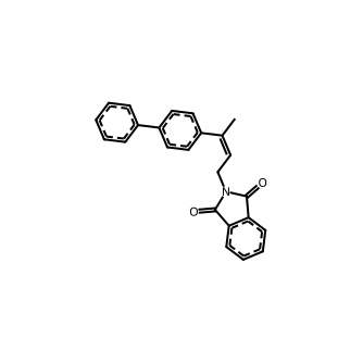 CC(=CCN1C(=O)c2ccccc2C1=O)c1ccc(-c2ccccc2)cc1